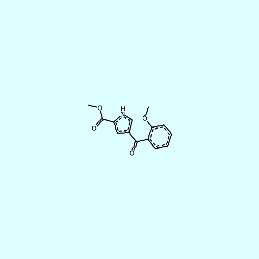 COC(=O)c1cc(C(=O)c2ccccc2OC)c[nH]1